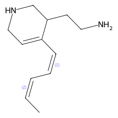 C/C=C\C=C/C1=CCNCC1CCN